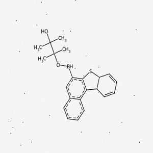 CC(C)(O)C(C)(C)OBc1cc2ccccc2c2c1SC1C=CC=CC21